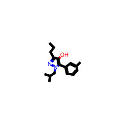 CCCc1nn(CC(C)C)c(-c2cccc(C)c2)c1O